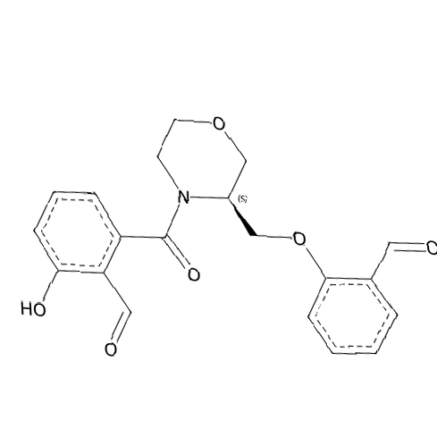 O=Cc1ccccc1OC[C@@H]1COCCN1C(=O)c1cccc(O)c1C=O